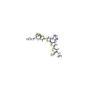 CCCCCCCCC(C)Cc1cc(-c2cc3c4nsnc4c4cc(-c5cc(CC(C)C)c(Br)s5)sc4c3s2)sc1Br